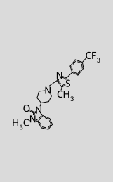 Cc1sc(-c2ccc(C(F)(F)F)cc2)nc1CN1CCC(n2c(=O)n(C)c3ccccc32)CC1